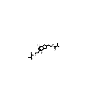 C=C(C)C(=O)OCCC1CC2C(C1)[C@H]1C[C@@H]2CC1CCOC(=O)C(=C)C